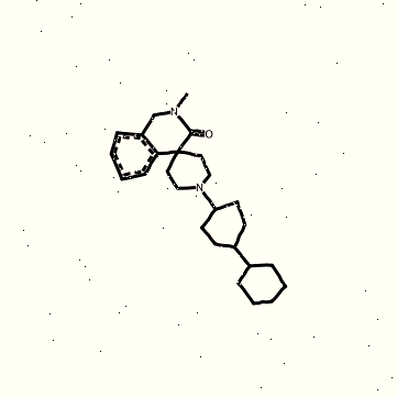 CN1Cc2ccccc2C2(CCN(C3CCC(C4CCCCC4)CC3)CC2)C1=O